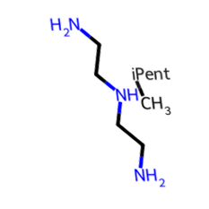 CCCC(C)C.NCCNCCN